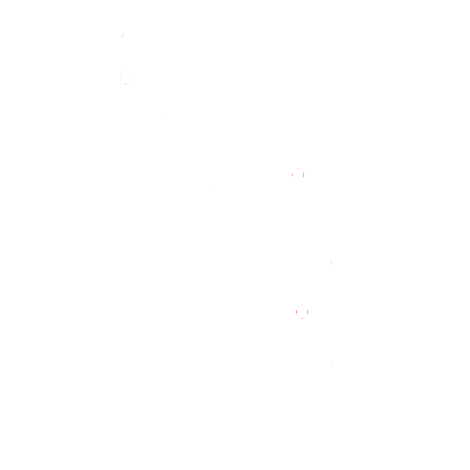 C#CCOCC1(C)CCc2c(C)c(OC)c(C)c(C)c2O1